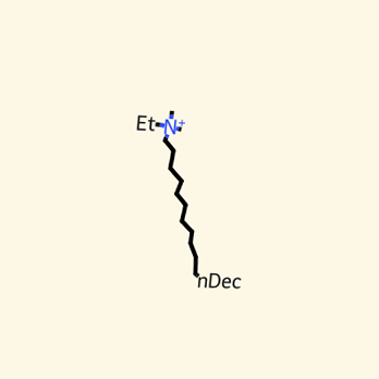 CCCCCCCCCCCCCCCCCCCCC[N+](C)(C)CC